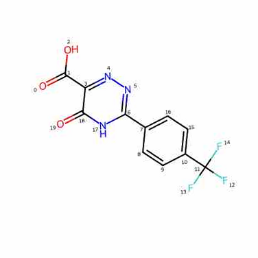 O=C(O)c1nnc(-c2ccc(C(F)(F)F)cc2)[nH]c1=O